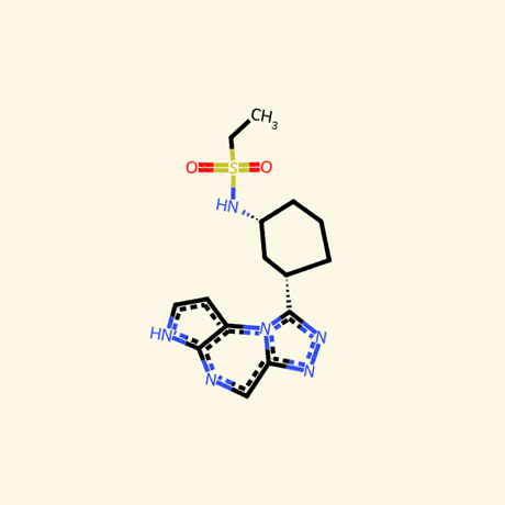 CCS(=O)(=O)N[C@@H]1CCC[C@H](c2nnc3cnc4[nH]ccc4n23)C1